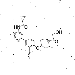 CC1CC(Oc2ccc(-c3cc(NC(=O)C4CC4)ncn3)cc2C#N)CCN1C(=O)CO